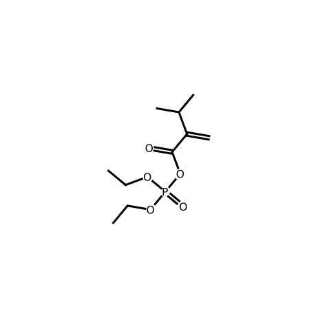 C=C(C(=O)OP(=O)(OCC)OCC)C(C)C